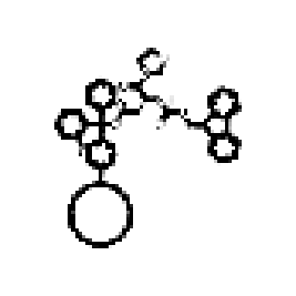 O=C(C[C@H](NC(=O)OCC1c2ccccc2-c2ccccc21)C(=O)N1CCOC1)OC(c1ccccc1)(c1ccc(C2CCCCCCCCCCCC2)cc1)c1ccccc1Cl